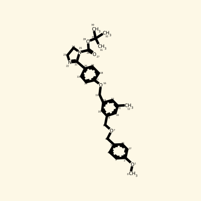 COc1ccc(COCc2cc(C)cc(COc3ccc(C4=NCCN4C(=O)OC(C)(C)C)cc3)c2)cc1